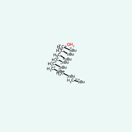 CCCCC.CCCCC.CCCCC.CCCCC.CCCCC.CCCCC.CCCCC.CCCCC.O